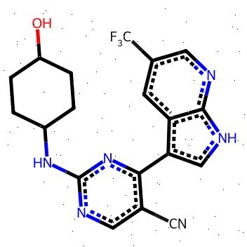 N#Cc1cnc(NC2CCC(O)CC2)nc1-c1c[nH]c2ncc(C(F)(F)F)cc12